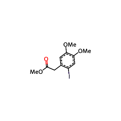 COC(=O)Cc1cc(OC)c(OC)cc1I